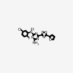 CCN(c1nc(N)nc(-c2noc(-c3ccco3)n2)n1)c1cc(Cl)ccc1F